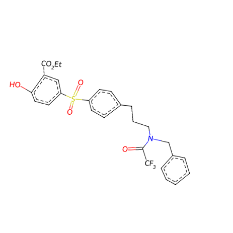 CCOC(=O)c1cc(S(=O)(=O)c2ccc(CCCN(Cc3ccccc3)C(=O)C(F)(F)F)cc2)ccc1O